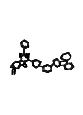 C1=C2C=c3c(oc4c(-c5ccc(-c6cccc(-c7ccc8c(c7)-c7ccccc7C87CCCCC7)c6)cc5)nc(-c5ccccc5)nc34)=C[C@H]12